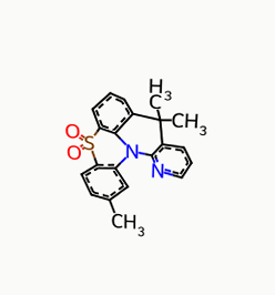 Cc1ccc2c(c1)N1c3ncccc3C(C)(C)c3cccc(c31)S2(=O)=O